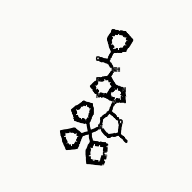 CC1CN(C(c2ccccc2)(c2ccccc2)c2ccccc2)CC(n2cnc3c(NC(=O)c4ccccc4)ncnc32)O1